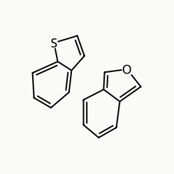 c1ccc2cocc2c1.c1ccc2sccc2c1